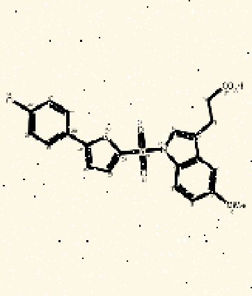 COc1ccc2c(c1)c(CCC(=O)O)cn2S(=O)(=O)c1ccc(-c2ccc(Cl)cc2)s1